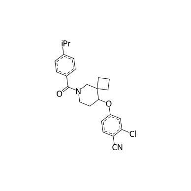 CC(C)c1ccc(C(=O)N2CCC(Oc3ccc(C#N)c(Cl)c3)C3(CCC3)C2)cc1